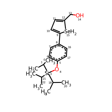 CC(C)[Si](Oc1ccc(C2=CC=C(CO)[SeH2]2)cc1)(C(C)C)C(C)C